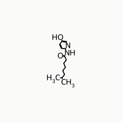 CC(C)CCCCCC(=O)Nc1ccc(O)cn1